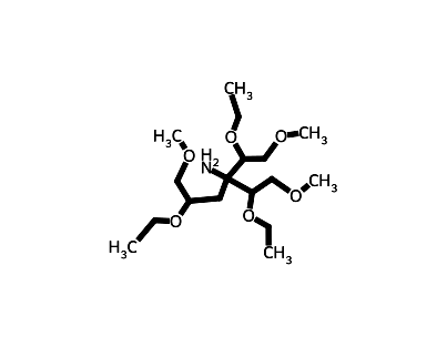 CCOC(COC)CC(N)(C(COC)OCC)C(COC)OCC